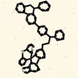 c1ccc(C(CCc2ccc3c(c2)C2(c4ccccc4Sc4ccccc42)c2c-3ccc3ccccc23)c2ccc(-c3ccc4c(c3)C(c3ccccc3)Cc3ccccc3-4)cc2)cc1